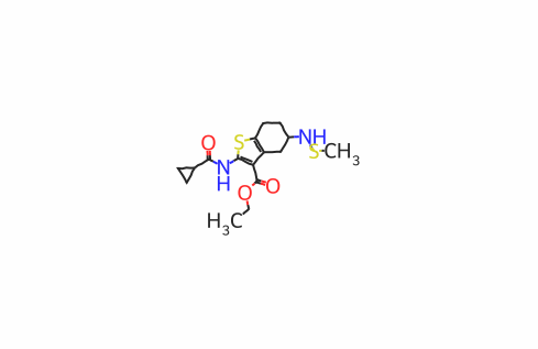 CCOC(=O)c1c(NC(=O)C2CC2)sc2c1CC(NSC)CC2